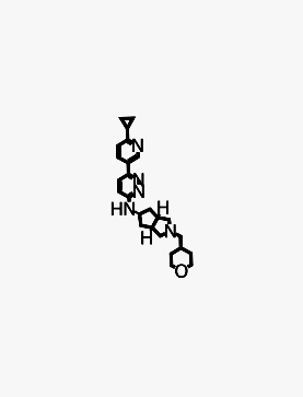 c1cc(C2CC2)ncc1-c1ccc(N[C@H]2C[C@@H]3CN(CC4CCOCC4)C[C@@H]3C2)nn1